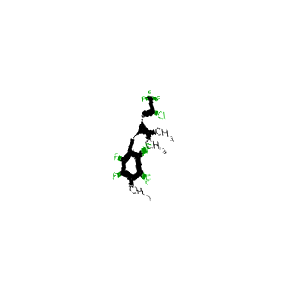 Cc1c(F)c(F)c(C[C@@H]2[C@H](/C=C(\Cl)C(F)(F)F)C2(C)C)c(F)c1F